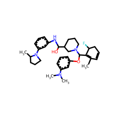 CC1=C(C(Oc2cccc(N(C)C)c2)N2CCCC(C(O)Nc3cccc(N4CCCC4C)c3)C2)C(F)CC=C1